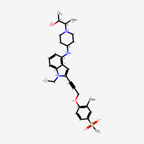 CNc1cc(S(C)(=O)=O)ccc1OCC#Cc1cc2c(NC3CCN(C(OC)C(C)O)CC3)cccc2n1CC(F)(F)F